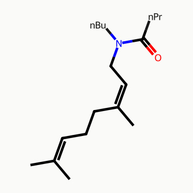 CCCCN(C/C=C(/C)CCC=C(C)C)C(=O)CCC